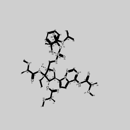 CC[C@]1(OC(=O)[C@@H](C)OC)[C@@H](OC(=O)[C@@H](C)OC)[C@H](c2ccc3c(NC(=O)[C@@H](C)OC)ncnn23)O[C@]1(C)CO[P@@](=O)(N[C@@H](C)C(=O)OC(C)C)Oc1ccccc1